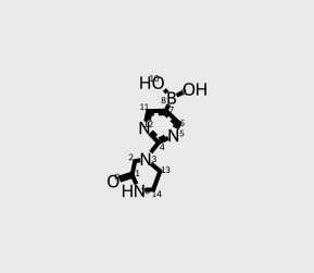 O=C1CN(c2ncc(B(O)O)cn2)CCN1